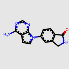 Nc1ncnc2c1ccn2-c1ccc2c(c1)CNC2=O